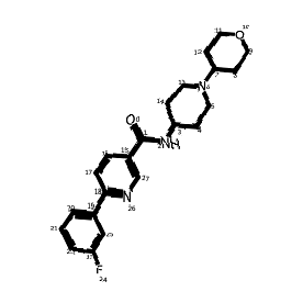 O=C(NC1CCN(C2CCOCC2)CC1)c1ccc(-c2cccc(F)c2)nc1